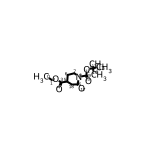 CCOC(=O)C1CCN(C(=O)OC(C)(C)C)C(=O)C1